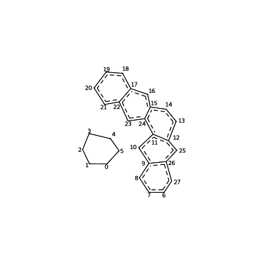 C1CCCCC1.c1ccc2cc3c(ccc4cc5ccccc5cc43)cc2c1